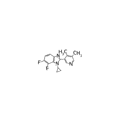 Cc1cncc(-c2nc3ccc(F)c(F)c3n2C2CC2)c1C